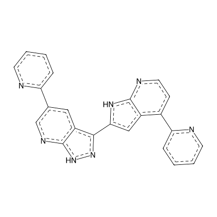 c1ccc(-c2cnc3[nH]nc(-c4cc5c(-c6ccccn6)ccnc5[nH]4)c3c2)nc1